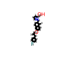 CC1=C(CN2CCC[C@H]2CO)CCc2cc(OC[C@@H](C)Cc3ccc(F)cc3)ccc21